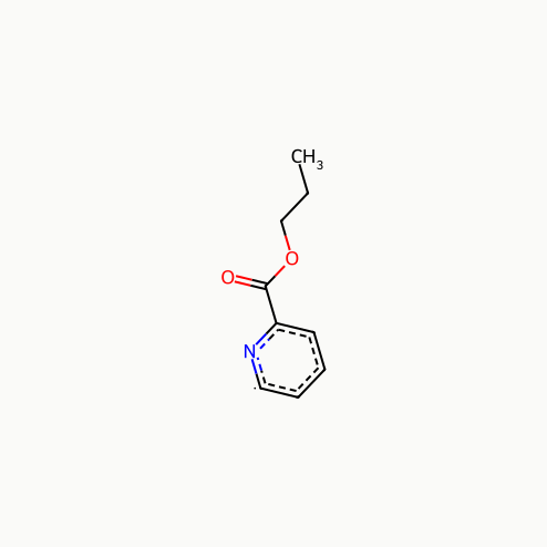 CCCOC(=O)c1ccc[c]n1